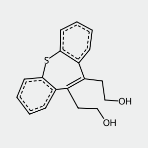 OCCC1=C(CCO)c2ccccc2Sc2ccccc21